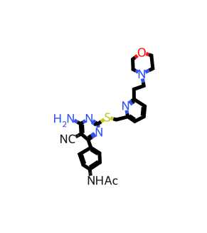 CC(=O)Nc1ccc(-c2nc(SCc3cccc(CCN4CCOCC4)n3)nc(N)c2C#N)cc1